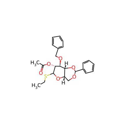 CCSC1O[C@H]2COC(c3ccccc3)O[C@H]2[C@H](OCc2ccccc2)[C@H]1OC(C)=O